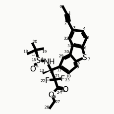 CC#Cc1ccc2sc3ccc([C@@](C)(N[S+]([O-])C(C)(C)C)C(F)(F)C(=O)OCC)cc3c2c1